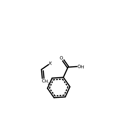 C=[CH][K].O=C(O)c1ccccc1